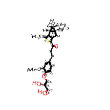 COc1cc(CCC(=O)c2sc(C)c3c2C[C@@H]2[C@H]3C2(C)C)ccc1OC[C@@H](O)CO